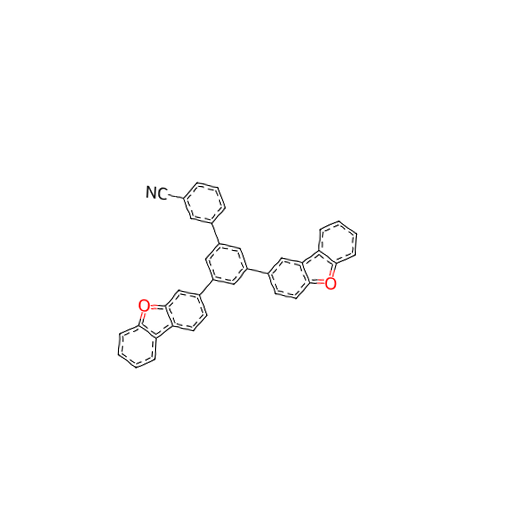 N#Cc1cccc(-c2cc(-c3ccc4c(c3)oc3ccccc34)cc(-c3ccc4oc5ccccc5c4c3)c2)c1